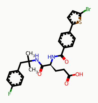 CC(C)(Cc1ccc(F)cc1)NC(=O)[C@H](CCC(=O)O)NC(=O)c1ccc(-c2ccc(Br)s2)cc1